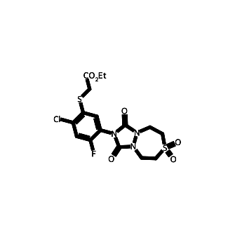 CCOC(=O)CSc1cc(-n2c(=O)n3n(c2=O)CCS(=O)(=O)CC3)c(F)cc1Cl